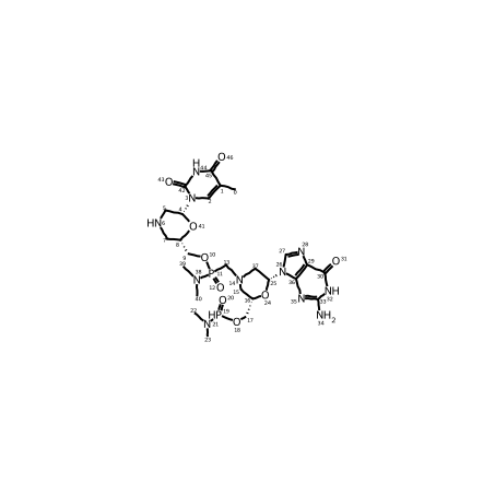 Cc1cn([C@H]2CNC[C@@H](COP(=O)(CN3C[C@@H](CO[PH](=O)N(C)C)O[C@@H](n4cnc5c(=O)[nH]c(N)nc54)C3)N(C)C)O2)c(=O)[nH]c1=O